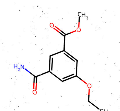 CCOc1cc(C(N)=O)cc(C(=O)OC)c1